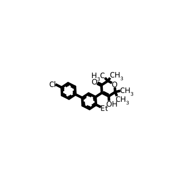 CCc1ccc(-c2ccc(Cl)cc2)cc1C1=C(O)C(C)(C)OC(C)(C)C1=O